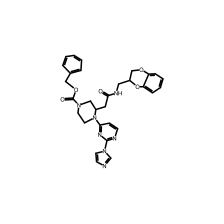 O=C(CC1CN(C(=O)OCc2ccccc2)CCN1c1ccnc(-n2ccnc2)n1)NCC1COc2ccccc2O1